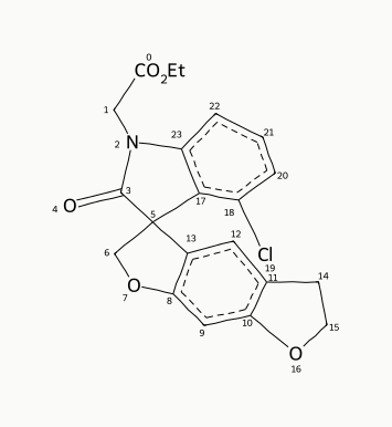 CCOC(=O)CN1C(=O)C2(COc3cc4c(cc32)CCO4)c2c(Cl)cccc21